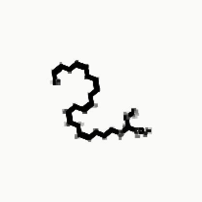 CC/C=C\C/C=C\C/C=C\C/C=C\C/C=C\C/C=C\CCCOC(OCC)C(=O)O